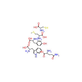 CSCC[C@H](N)C(=O)O.NC(=O)CC[C@H](N)C(=O)O.N[C@@H](CS)C(=O)O.N[C@@H](Cc1c[nH]c2ccccc12)C(=O)O.N[C@@H](Cc1ccc(O)cc1)C(=O)O